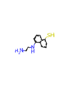 NCCNc1cccc2c(S)cccc12